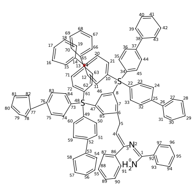 N/C(=N\C(=C/Cc1cc(S(c2ccc(-c3ccccc3)cc2)(c2ccc(-c3ccccc3)cc2)c2ccc(-c3ccccc3)cc2)cc(S(c2ccc(-c3ccccc3)cc2)(c2ccc(-c3ccccc3)cc2)c2ccc(-c3ccccc3)cc2)c1)c1ccccc1)c1ccccc1